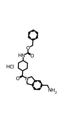 Cl.NCc1ccc2c(c1)CN(C(=O)C1CCC(NC(=O)OCc3ccccc3)CC1)C2